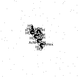 CCCCCCOC1OC(CO)[C@H](O)[C@H](OC2OC(CO)[C@@H](O)[C@H](O[C@@H]3OC(CO)[C@H](O[C@@H]4OC(CO)[C@H](O)[C@H](O)C4C)[C@H](O[C@@]4(C(=O)O)CC(O)[C@H](C)C([C@H](O)[C@H](O)CO)O4)C3O)[C@@H]2NC(C)=O)[C@@H]1O